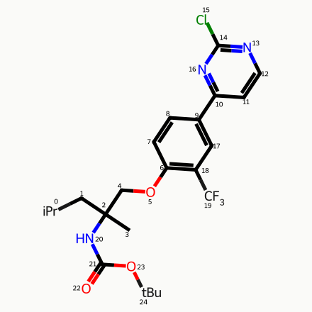 CC(C)CC(C)(COc1ccc(-c2ccnc(Cl)n2)cc1C(F)(F)F)NC(=O)OC(C)(C)C